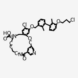 Cc1c(COc2cc3c(cc2Cl)CN[C@H](C(=O)O)CCCCNC(=O)c2cncc(c2)CO3)cccc1-c1cccc(OCCCCl)c1C